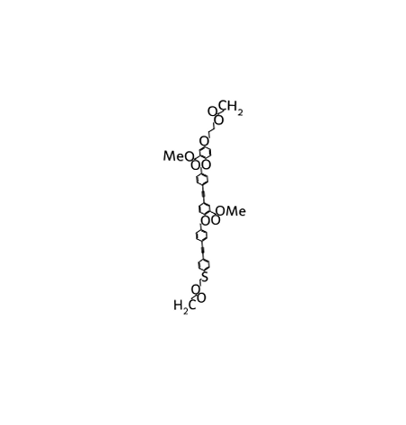 C=CC(=O)OCCCCOc1ccc(OCc2ccc(C#Cc3ccc(OCc4ccc(C#Cc5ccc(SCCOC(=O)C=C)cc5)cc4)c(C(=O)OC)c3)cc2)c(C(=O)OC)c1